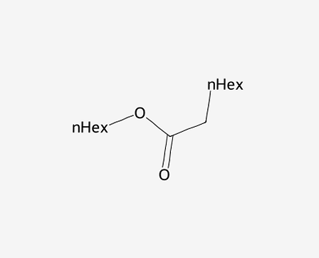 [CH2]CCCCCCC(=O)OCCCCCC